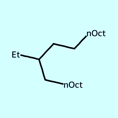 [CH2]CC(CCCCCCCCC)CCCCCCCCCC